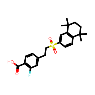 CC1(C)CCC(C)(C)c2cc(S(=O)(=O)CCc3ccc(C(=O)O)c(F)c3)ccc21